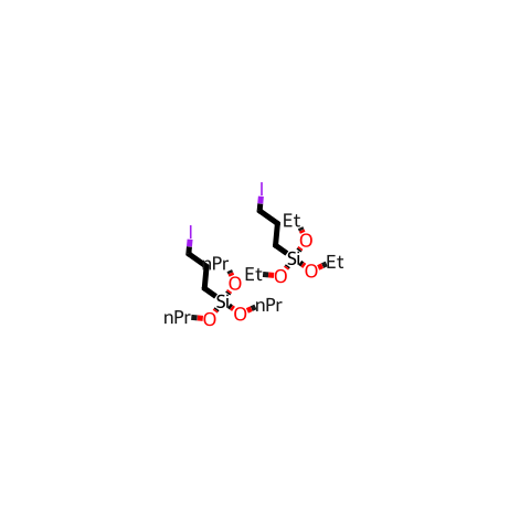 CCCO[Si](CCCI)(OCCC)OCCC.CCO[Si](CCCI)(OCC)OCC